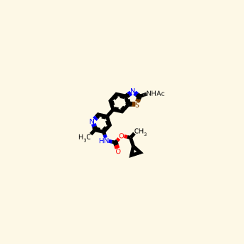 CC(=O)Nc1nc2ccc(-c3cnc(C)c(NC(=O)OC(C)C4CC4)c3)cc2s1